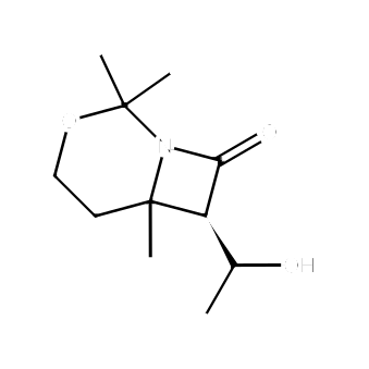 CC(O)[C@@H]1C(=O)N2C(C)(C)OCCC12C